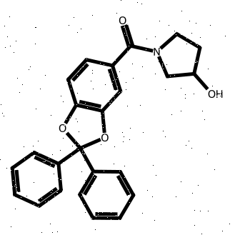 O=C(c1ccc2c(c1)OC(c1ccccc1)(c1ccccc1)O2)N1CCC(O)C1